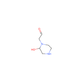 O=CCN1CCNCC1O